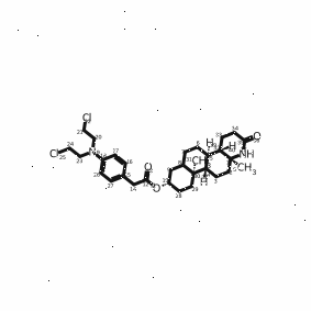 C[C@@]12CC[C@H]3[C@@H](CCC4C[C@@H](OC(=O)Cc5ccc(N(CCCl)CCCl)cc5)CC[C@@]43C)[C@@H]1CCC(=O)N2